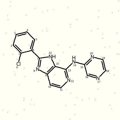 Clc1ccccc1-c1nc2ccnc(Nc3cnccn3)c2[nH]1